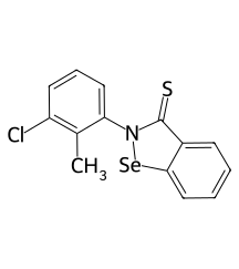 Cc1c(Cl)cccc1-n1[se]c2ccccc2c1=S